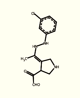 CC(NNc1cccc(Cl)c1)=C1CNCC1C(=O)C=O